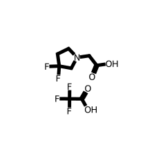 O=C(O)C(F)(F)F.O=C(O)CN1CCC(F)(F)C1